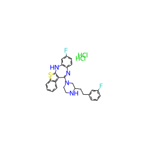 Cl.Cl.Fc1cccc(CCC2CN(C3=Nc4ccc(F)cc4Nc4sc5ccccc5c43)CCN2)c1